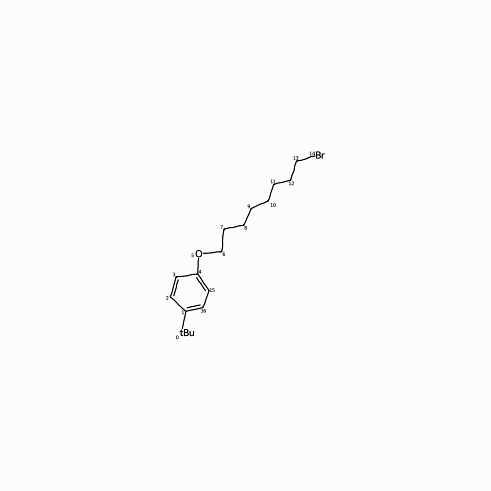 CC(C)(C)c1ccc(OCCCCCCCCBr)cc1